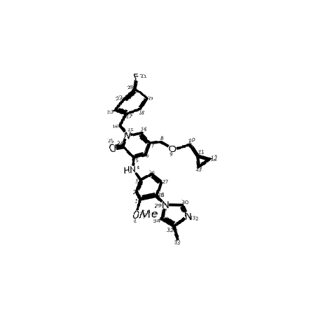 COc1cc(Nc2cc(COCC3CC3)cn(Cc3ccc(F)cc3)c2=O)ccc1-n1cnc(C)c1